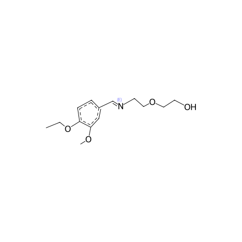 CCOc1ccc(/C=N/CCOCCO)cc1OC